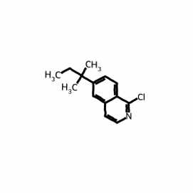 CCC(C)(C)c1ccc2c(Cl)nccc2c1